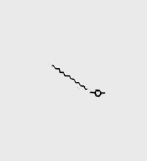 NCCCCCCCCCCCC(N)C(=O)CNC(=O)c1ccc(I)cc1